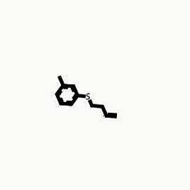 C=[C]CCSc1cccc(C)c1